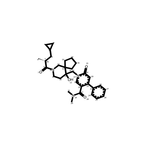 C[C@H](CC1CC1)C(=O)N1CCC(O)(Cn2cc(C(=O)N(C)C)c(-c3ccccc3)cc2=O)C2(CCCC2)C1